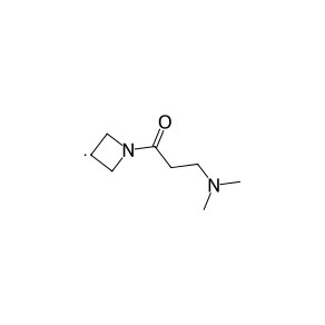 CN(C)CCC(=O)N1C[CH]C1